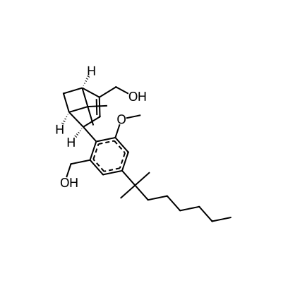 CCCCCCC(C)(C)c1cc(CO)c([C@@H]2C=C(CO)[C@@H]3C[C@H]2C3(C)C)c(OC)c1